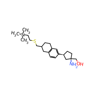 C[Si](C)(C)CCSCC1CCc2cc([C@H]3CC[C@](N)(CO)C3)ccc2C1